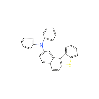 c1ccc(N(c2ccccc2)c2ccc3ccc4sc5ccccc5c4c3c2)cc1